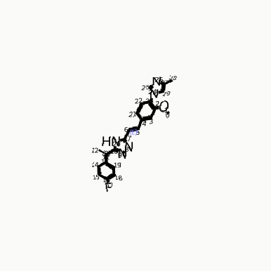 COc1cc(/C=C/c2nnc([C@H](C)c3ccc(F)cc3)[nH]2)ccc1-n1cnc(C)c1